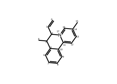 C=CC1C(C)c2ccccc2-c2ccc(C)c[n+]21